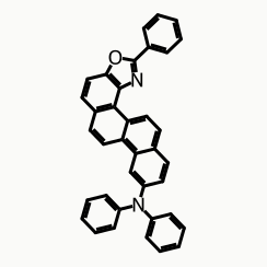 c1ccc(-c2nc3c(ccc4ccc5c6cc(N(c7ccccc7)c7ccccc7)ccc6ccc5c43)o2)cc1